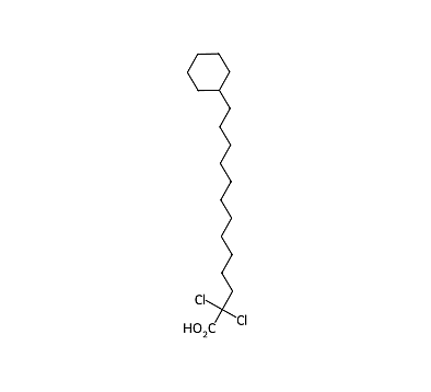 O=C(O)C(Cl)(Cl)CCCCCCCCCCCC1CCCCC1